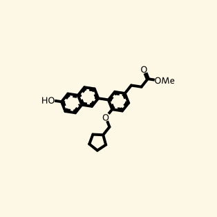 COC(=O)CCc1ccc(OCC2CCCC2)c(-c2ccc3cc(O)ccc3c2)c1